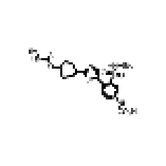 CC(C)NC(=O)OC1CCC(c2ncc(-c3ccc(NC(=O)O)cc3S(=O)(=O)NC(C)(C)C)s2)CC1